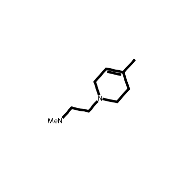 CNCCN1CC=C(C)CC1